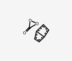 O=C1OO1.c1cc2ccc1-2